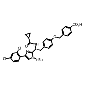 CCCCn1cc(-c2ccc(Cl)cc2Cl)nc1[C@H](Cc1ccc(OCc2ccc(C(=O)O)cc2)cc1)NC(=O)C1CC1